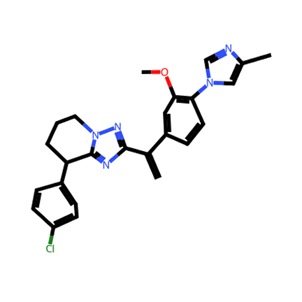 C=C(c1ccc(-n2cnc(C)c2)c(OC)c1)c1nc2n(n1)CCCC2c1ccc(Cl)cc1